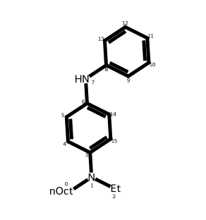 CCCCCCCCN(CC)c1ccc(Nc2ccccc2)cc1